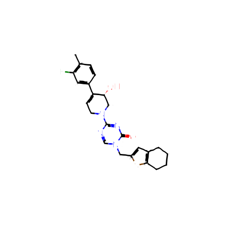 Cc1ccc(C2=CCN(c3ncn(Cc4cc5c(s4)CCCC5)c(=O)n3)C[C@@H]2O)cc1F